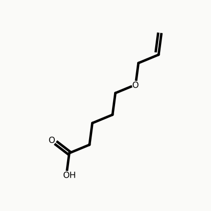 C=CCOCCCCC(=O)O